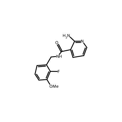 COc1cccc(CNC(=O)c2cccnc2N)c1F